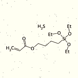 C=CC(=O)OCCCC[Si](OCC)(OCC)OCC.S